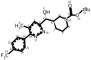 Cc1cc([C@H](O)[C@@H]2CCCN(C(=O)OC(C)(C)C)C2)nnc1-c1ccc(C(F)(F)F)cc1